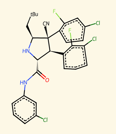 CC(C)(C)C[C@@H]1N[C@@H](C(=O)Nc2cccc(Cl)c2)[C@H](c2cccc(Cl)c2F)[C@@]1(C#N)c1ccc(Cl)cc1F